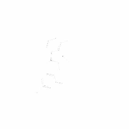 BC1(B)c2c(F)cccc2C(=O)N1Cc1ccc(Br)cc1F